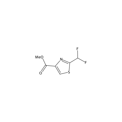 COC(=O)c1csc(C(F)F)n1